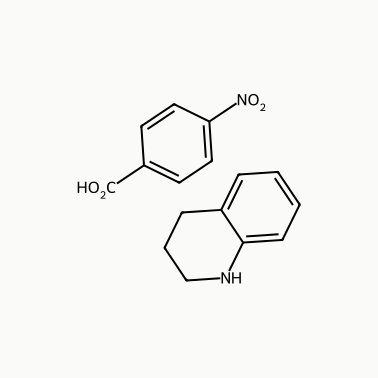 O=C(O)c1ccc([N+](=O)[O-])cc1.c1ccc2c(c1)CCCN2